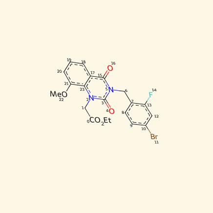 CCOC(=O)Cn1c(=O)n(Cc2ccc(Br)cc2F)c(=O)c2cccc(OC)c21